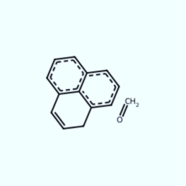 C1=Cc2cccc3cccc(c23)C1.C=O